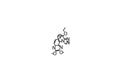 CCOC(=O)c1nncn1-c1c(Cl)ccc2nc(OC)c(OC)nc12